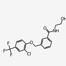 O=C(NCCO)c1cccc(COc2ccc(C(F)(F)F)cc2Cl)c1